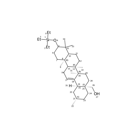 CC[Si](CC)(CC)OC1CC[C@@]2(C)C(CC[C@]3(C)C2CC=C2[C@@H]4C[C@@H](C)CC[C@]4(CO)CC[C@@]23C)C1(C)C